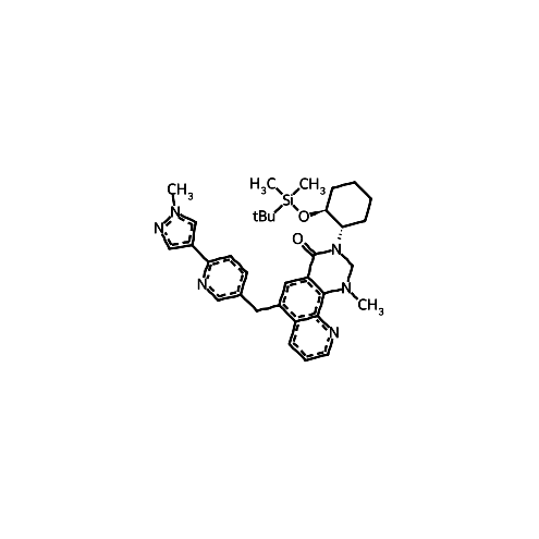 CN1CN([C@H]2CCCC[C@@H]2O[Si](C)(C)C(C)(C)C)C(=O)c2cc(Cc3ccc(-c4cnn(C)c4)nc3)c3cccnc3c21